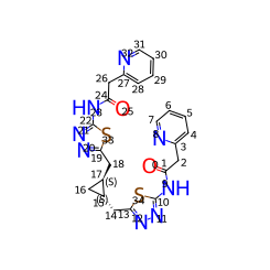 O=C(Cc1ccccn1)Nc1nnc(C[C@@H]2C[C@H]2Cc2nnc(NC(=O)Cc3ccccn3)s2)s1